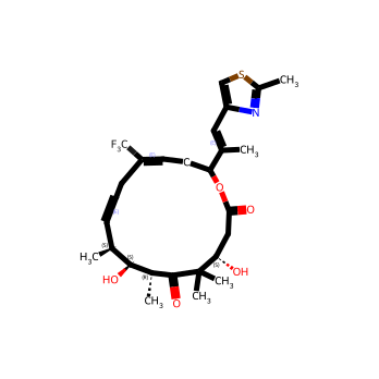 C/C(=C\c1csc(C)n1)C1C/C=C(/C(F)(F)F)C/C=C/[C@H](C)[C@H](O)[C@@H](C)C(=O)C(C)(C)[C@@H](O)CC(=O)O1